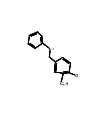 O=S(=O)(O)c1cc(CNc2ccccc2)ccc1Cl